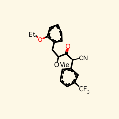 CCOc1ccccc1CC(OC)C(=O)C(C#N)c1cccc(C(F)(F)F)c1